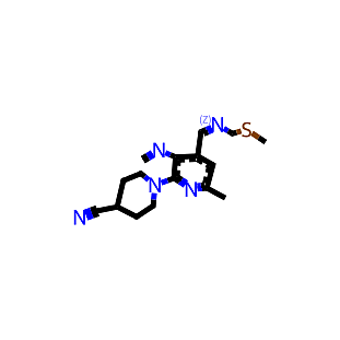 C=Nc1c(/C=N\CSC)cc(C)nc1N1CCC(C#N)CC1